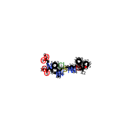 COC(=O)CCn1c(C(=O)OC)c(C)c2c(-c3c(CSCc4cc(CO[Si](c5ccccc5)(c5ccccc5)C(C)(C)C)n(C)n4)nn(C)c3C)c(Cl)ccc21